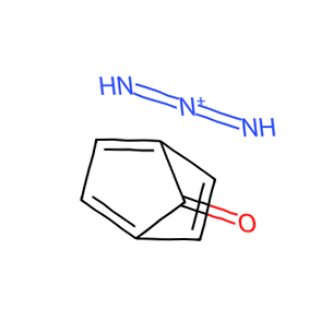 N=[N+]=N.O=C1C2=CC=C1C=C2